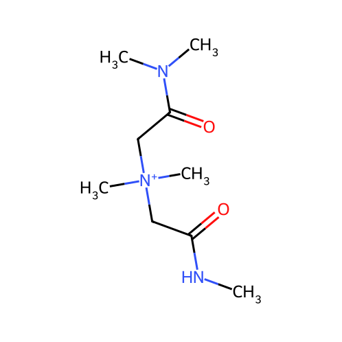 CNC(=O)C[N+](C)(C)CC(=O)N(C)C